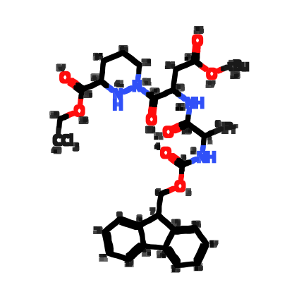 CC(C)C(NC(=O)OCC1c2ccccc2-c2ccccc21)C(=O)NC(CC(=O)OC(C)(C)C)C(=O)N1CCCC(C(=O)OCC(Cl)(Cl)Cl)N1